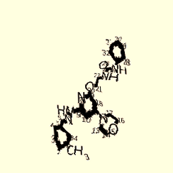 Cc1cccc(C=NNc2cc(N3CCOCC3)cc(OCCNC(=O)Nc3ccccc3)n2)c1